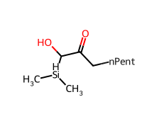 CCCCCCC(=O)C(O)[SiH](C)C